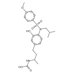 COc1ccc(S(=O)(=O)N(CC(C)C)c2ccc(CCC(C)NC(=O)O)cc2O)cc1